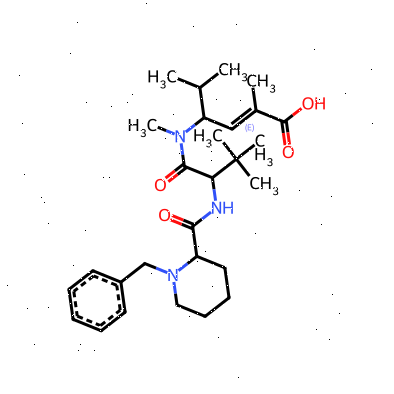 C/C(=C\C(C(C)C)N(C)C(=O)C(NC(=O)C1CCCCN1Cc1ccccc1)C(C)(C)C)C(=O)O